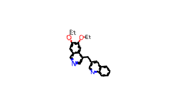 CCOc1cc2cncc(Cc3cnc4ccccc4c3)c2cc1OCC